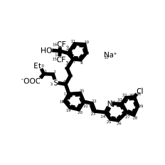 CCC(CSC(CCc1ccccc1C(O)(C(F)(F)F)C(F)(F)F)c1cccc(C=Cc2ccc3ccc(Cl)cc3n2)c1)C(=O)[O-].[Na+]